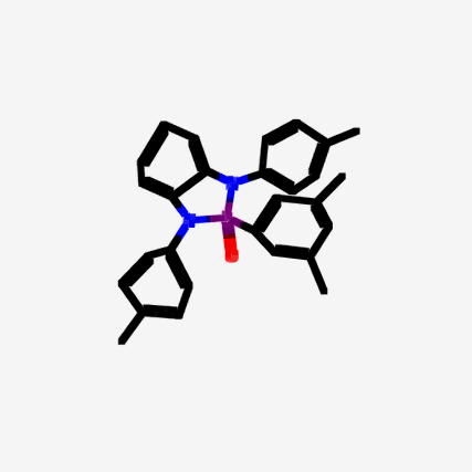 Cc1ccc(N2c3ccccc3N(c3ccc(C)cc3)P2(=O)c2cc(C)cc(C)c2)cc1